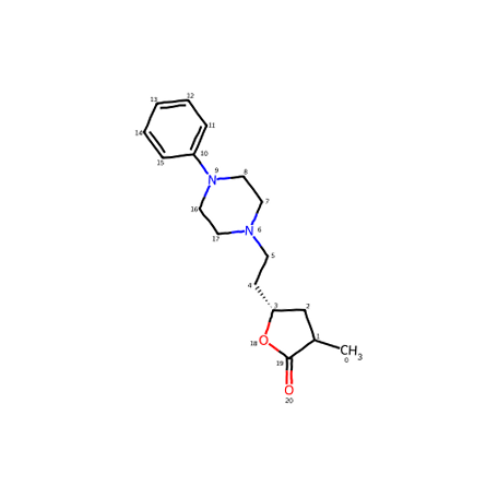 CC1C[C@@H](CCN2CCN(c3ccccc3)CC2)OC1=O